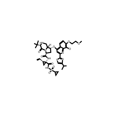 C=C[C@@H]1C[C@]1(NC(=O)[C@@H]1C[C@@H](Oc2cc(-c3nc(C(C)C)cs3)nc3c(Cl)c(OCCOC)ccc23)[C@H]2CN[C@H](C(C)(C)C)C(=O)N21)C(=O)NS(=O)(=O)C1CC1